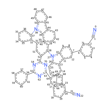 N#Cc1cccc(-c2ccc3c(c2)c2cc(-c4cccc(C#N)c4)ccc2n3-c2ccc(-c3ccccc3-n3c4ccccc4c4ccccc43)cc2-c2nc(-c3ccccc3)nc(-c3ccccc3)n2)c1